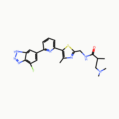 Cc1nc(CNC(=O)C(C)CN(C)C)sc1-c1cccc(-c2cc(F)c3nn[nH]c3c2)n1